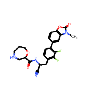 Cn1c(=O)oc2ccc(-c3ccc(CC(C#N)NC(=O)C4CNCCCO4)c(F)c3F)cc21